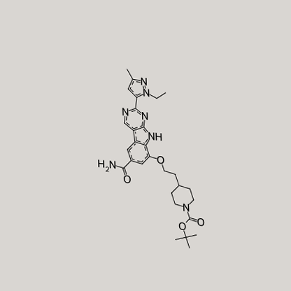 CCn1nc(C)cc1-c1ncc2c(n1)[nH]c1c(OCCC3CCN(C(=O)OC(C)(C)C)CC3)cc(C(N)=O)cc12